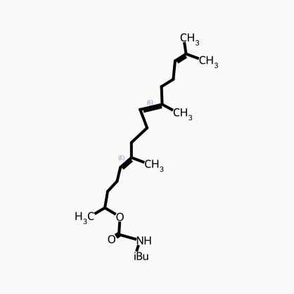 CCC(C)NC(=O)OC(C)CC/C=C(\C)CC/C=C(\C)CCC=C(C)C